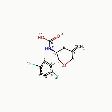 C=C1CO[C@H](c2cc(F)ccc2F)[C@@H](NC(=O)O)C1